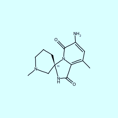 Cc1cc(N)c(=O)n2c1C(=O)N[C@@]21CCCN(C)C1